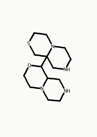 [C]1SCCN2CCNCC12C1OCCN2CCNCC12